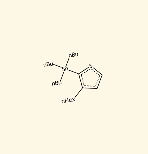 CCCCCCc1ccs[c]1[Sn]([CH2]CCC)([CH2]CCC)[CH2]CCC